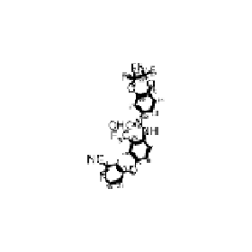 N#Cc1cc(Oc2ccc(NN(C=O)c3ccc4c(c3)OC(F)(F)C(F)(F)O4)c(C(F)(F)F)c2)ccn1